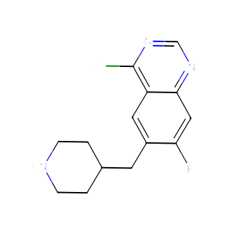 CCc1cc2ncnc(Cl)c2cc1CC1CCNCC1